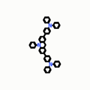 c1ccc(N(c2ccccc2)c2ccc(-c3ccc4c(c3)Cc3cc(-c5ccc(N(c6ccccc6)c6ccccc6)cc5)ccc3N4c3ccccc3)cc2)cc1